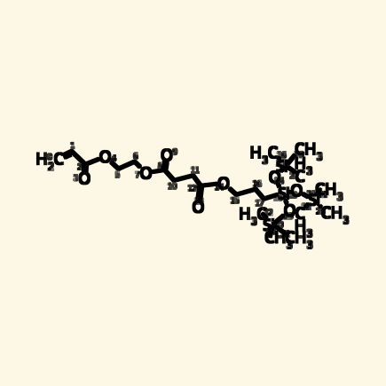 C=CC(=O)OCCOC(=O)CCC(=O)OCCC[Si](O[Si](C)(C)C)(O[Si](C)(C)C)O[Si](C)(C)C